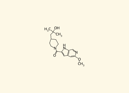 COc1cc2cc(C(=O)N3CCC(CC(C)(C)O)CC3)[nH]c2cn1